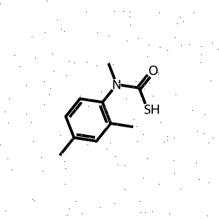 Cc1ccc(N(C)C(=O)S)c(C)c1